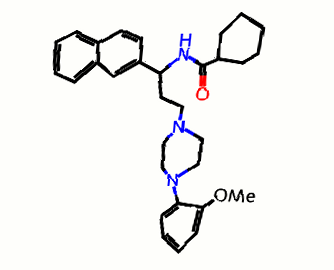 COc1ccccc1N1CCN(CCC(NC(=O)C2CCCCC2)c2ccc3ccccc3c2)CC1